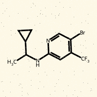 CC(Nc1cc(C(F)(F)F)c(Br)cn1)C1CC1